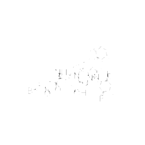 CC(C)(C)[C@H](c1nn(-c2cc(F)ccc2F)cc1Cc1ccccc1)N(CC[C@H](N)C(=O)CC(=O)CBr)C(=O)CO